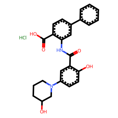 Cl.O=C(Nc1cc(-c2ccccc2)ccc1C(=O)O)c1cc(N2CCCC(O)C2)ccc1O